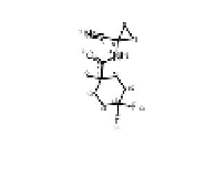 CC1(C(=O)NC2(C#N)CC2)CCC(F)(F)CC1